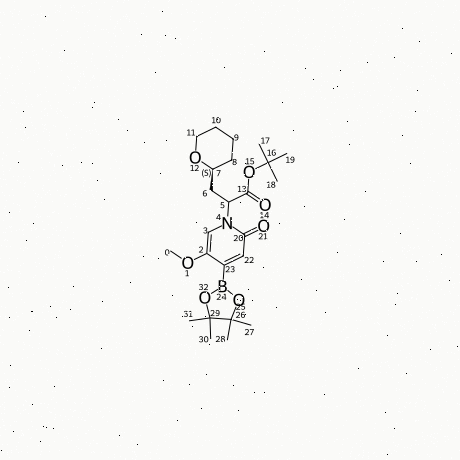 COc1cn(C(C[C@@H]2CCCCO2)C(=O)OC(C)(C)C)c(=O)cc1B1OC(C)(C)C(C)(C)O1